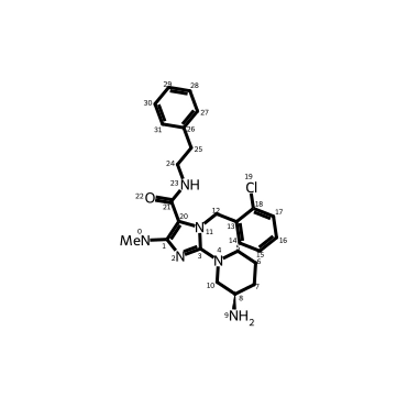 CNc1nc(N2CCC[C@@H](N)C2)n(Cc2ccccc2Cl)c1C(=O)NCCc1ccccc1